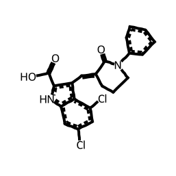 O=C(O)c1[nH]c2cc(Cl)cc(Cl)c2c1/C=C1\CCCN(c2ccccc2)C1=O